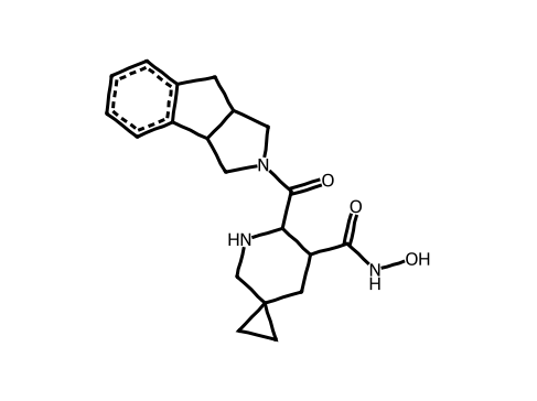 O=C(NO)C1CC2(CC2)CNC1C(=O)N1CC2Cc3ccccc3C2C1